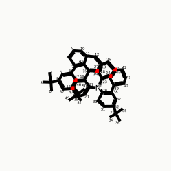 CC(C)(C)c1cc(-c2cccc3cccc(-c4ccccc4N(c4ccccc4)c4ccc(C(C)(C)C)cc4-c4ccccc4)c23)cc(C(C)(C)C)c1